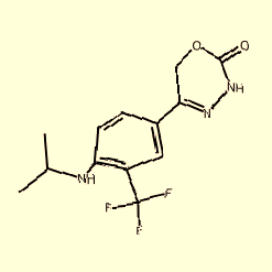 CC(C)Nc1ccc(C2=NNC(=O)OC2)cc1C(F)(F)F